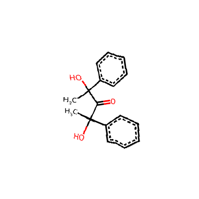 CC(O)(C(=O)C(C)(O)c1ccccc1)c1ccccc1